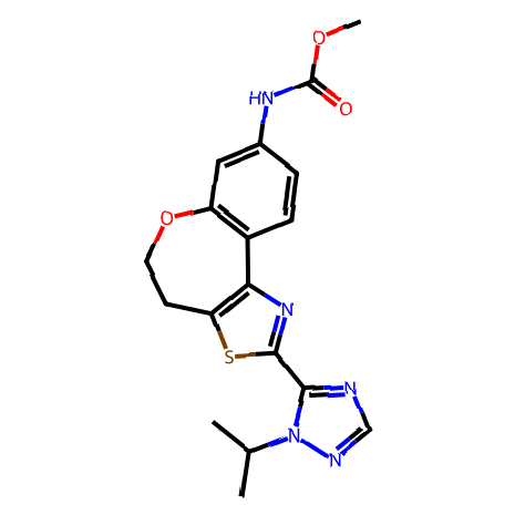 COC(=O)Nc1ccc2c(c1)OCCc1sc(-c3ncnn3C(C)C)nc1-2